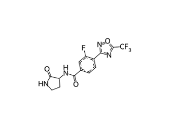 O=C(NC1CCNC1=O)c1ccc(-c2noc(C(F)(F)F)n2)c(F)c1